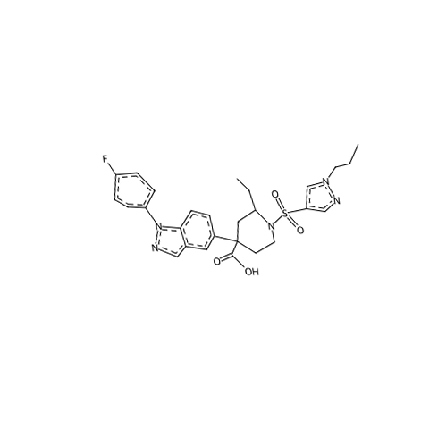 CCCn1cc(S(=O)(=O)N2CCC(C(=O)O)(c3ccc4c(cnn4-c4ccc(F)cc4)c3)CC2CC)cn1